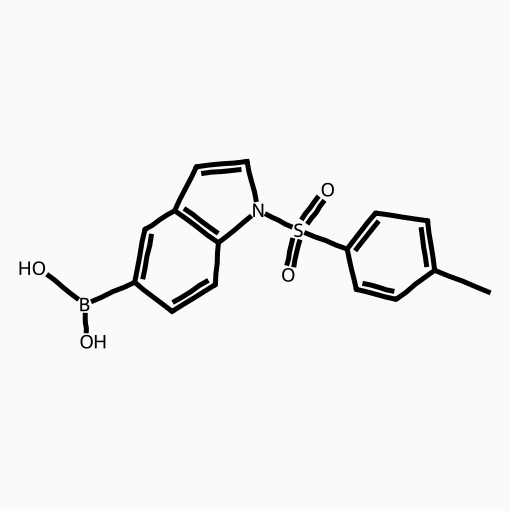 Cc1ccc(S(=O)(=O)n2ccc3cc(B(O)O)ccc32)cc1